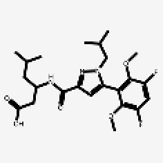 COc1c(F)cc(F)c(OC)c1-c1cc(C(=O)NC(CC(=O)O)CC(C)C)nn1CC(C)C